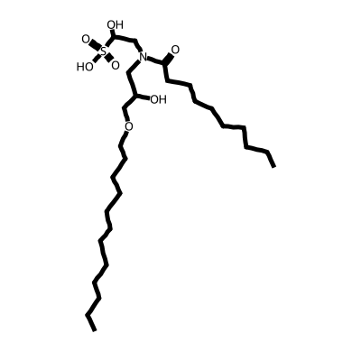 CCCCCCCCCCCCOCC(O)CN(CC(O)S(=O)(=O)O)C(=O)CCCCCCCCC